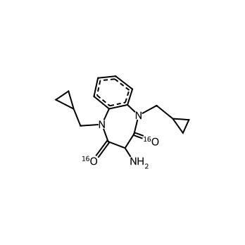 NC1C(=[16O])N(CC2CC2)c2ccccc2N(CC2CC2)C1=[16O]